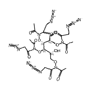 CC(=O)N(OC[C@@H](O)[C@@H](ON(C(C)=O)C(=O)CN=[N+]=[N-])[C@H](ON(C(C)=O)C(=O)CN=[N+]=[N-])[C@@H](C=O)ON(C(C)=O)C(=O)CN=[N+]=[N-])C(=O)CN=[N+]=[N-]